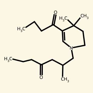 CCCC(=O)CC(C)CN1C=C(C(=O)CCC)C(C)(C)CC1